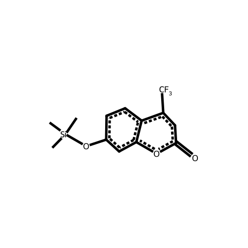 C[Si](C)(C)Oc1ccc2c(C(F)(F)F)cc(=O)oc2c1